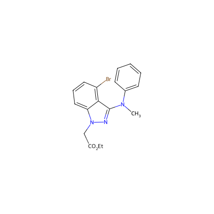 CCOC(=O)Cn1nc(N(C)c2ccccc2)c2c(Br)cccc21